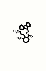 CC=CCC1C(C)CCCCC1C(=O)OCC1c2ccccc2-c2ccccc21